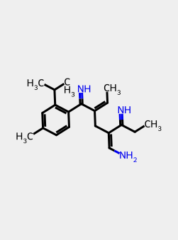 C/C=C(/C/C(=C/N)C(=N)CC)C(=N)c1ccc(C)cc1C(C)C